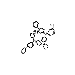 [3H]c1cccc(N(c2ccc(-c3ccccc3)cc2)c2ccc(C3(c4ccc(N(c5ccc(-c6ccccc6)cc5)c5cccc([3H])c5)cc4)CCCCC3)cc2)c1